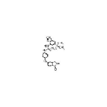 COc1ccc(C(C)(C)C)cc1NC(=O)Nc1ccc(Oc2ccc3c(c2)CNC3=O)cc1